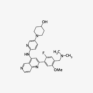 COc1cc(-c2cc(Nc3ccc(N4CCC(O)CC4)cn3)c3cnccc3n2)c(F)cc1CN(C)C